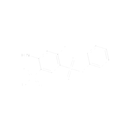 Nc1cc(Cl)c(S(=O)(=O)Oc2ccccc2)cc1S(=O)(=O)O